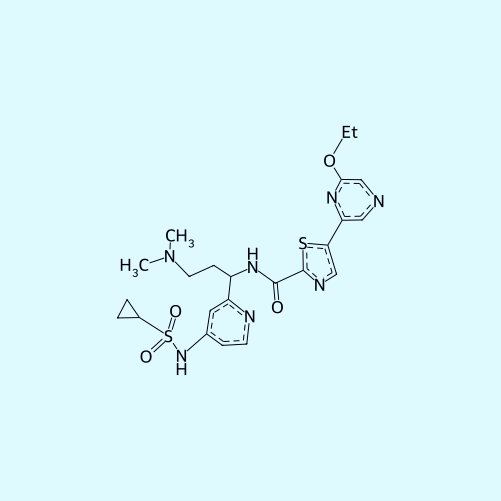 CCOc1cncc(-c2cnc(C(=O)NC(CCN(C)C)c3cc(NS(=O)(=O)C4CC4)ccn3)s2)n1